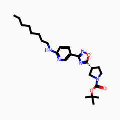 CCCCCCCCNc1ccc(-c2noc([C@@H]3CCN(C(=O)OC(C)(C)C)C3)n2)cn1